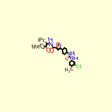 COC(=O)C(NC(=O)c1cc(-c2ccc(NC(=O)Nc3ccc(C)c(Cl)c3)cc2)no1)C(C)C